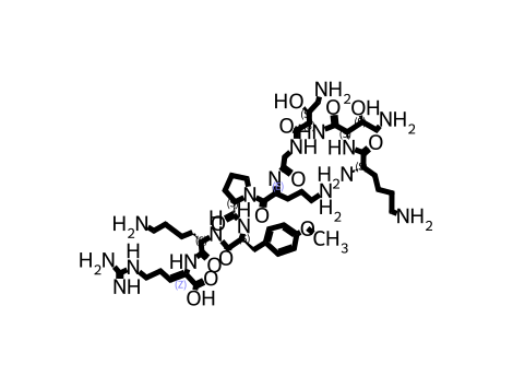 COc1ccc(C[C@H](NC(=O)[C@@H]2CCCN2C(=O)/C(CCCN)=N/C(=O)CNC(=O)[C@@H](NC(=O)[C@@H](NC(=O)[C@@H](N)CCCCN)[C@@H](O)CN)[C@@H](O)CN)C(=O)N[C@@H](CCCCN)C(=O)N/C(=C\CCNC(=N)N)C(=O)O)cc1